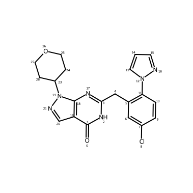 O=c1[nH]c(Cc2cc(Cl)ccc2-n2cccn2)nc2c1cnn2C1CCOCC1